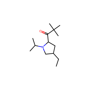 CCC1CC(C(=O)C(C)(C)C)N(C(C)C)C1